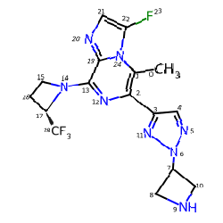 Cc1c(-c2cnn(C3CNC3)n2)nc(N2CC[C@@H]2C(F)(F)F)c2ncc(F)n12